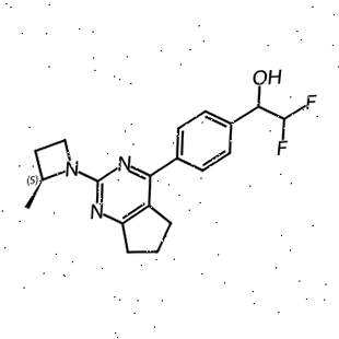 C[C@H]1CCN1c1nc2c(c(-c3ccc(C(O)C(F)F)cc3)n1)CCC2